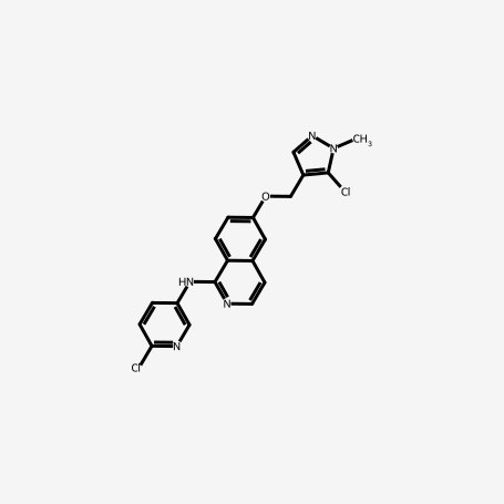 Cn1ncc(COc2ccc3c(Nc4ccc(Cl)nc4)nccc3c2)c1Cl